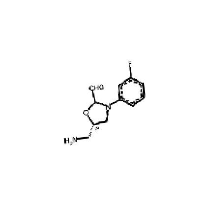 NC[C@H]1CN(c2cccc(F)c2)C(C=O)O1